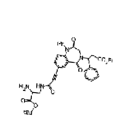 CCOC(=O)CC(c1ccccc1)N1CC(=O)N(C(C)C)c2ccc(C#CC(=O)NCC(N)C(=O)OC(C)(C)C)cc2C1=O